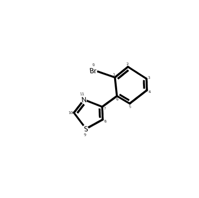 Brc1ccccc1-c1cscn1